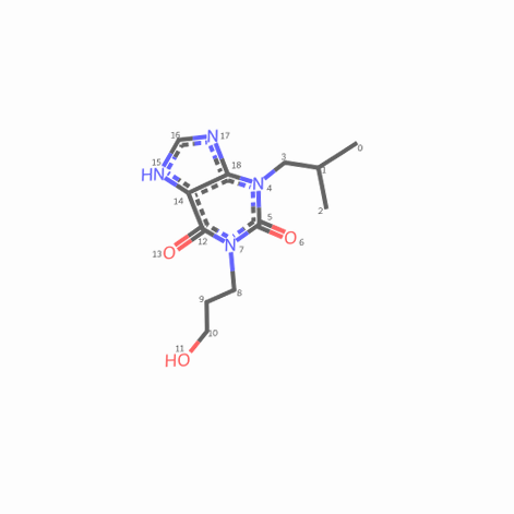 CC(C)Cn1c(=O)n(CCCO)c(=O)c2[nH]cnc21